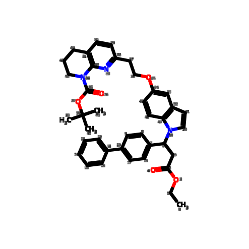 CCOC(=O)CC(c1ccc(-c2ccccc2)cc1)n1ccc2cc(OCCc3ccc4c(n3)N(C(=O)OC(C)(C)C)CCC4)ccc21